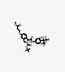 COC(=O)CCSc1ccc2c(c1)CN(C(=O)OC(C)(C)C)C2C(=O)Nc1ccc(C(O)(C(F)(F)F)C(F)(F)F)cc1